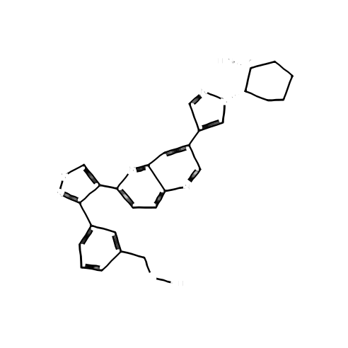 COCc1cccc(-c2n[nH]cc2-c2ccc3ncc(-c4cnn([C@H]5CCCC[C@H]5N)c4)cc3n2)c1